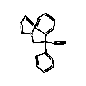 N#CC(Cn1cncn1)(c1ccccc1)c1ccccc1